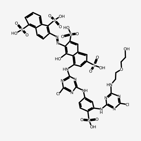 O=S(=O)(O)c1cc(Nc2nc(Cl)nc(Nc3ccc(S(=O)(=O)O)c(Nc4nc(Cl)nc(NCCOCCO)n4)c3)n2)c2c(O)c(N=Nc3ccc4c(S(=O)(=O)O)cccc4c3S(=O)(=O)O)c(S(=O)(=O)O)cc2c1